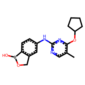 Cc1cnc(Nc2ccc3c(c2)COB3O)nc1OC1CCCC1